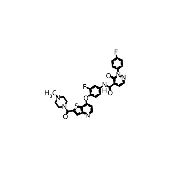 CN1CCN(C(=O)c2cc3nccc(Oc4ccc(NC(=O)c5ccnn(-c6ccc(F)cc6)c5=O)cc4F)c3s2)CC1